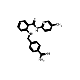 Cc1ccc(NC(=O)c2ccccc2NCc2ccc(C(=N)N)cc2)nc1